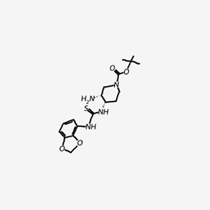 CC(C)(C)OC(=O)N1CC[C@H](NC(=S)Nc2cccc3c2OCO3)[C@H](N)C1